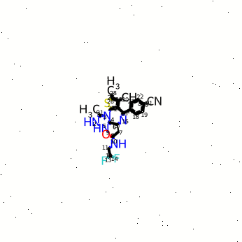 CC(=N)N1C(=N)[C@H](CC(=O)NCC(F)F)N=C(c2ccc(C#N)cc2)c2c1sc(C)c2C